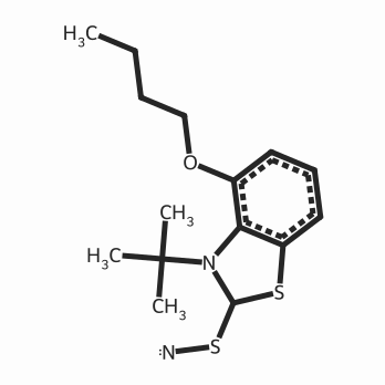 CCCCOc1cccc2c1N(C(C)(C)C)C(S[N])S2